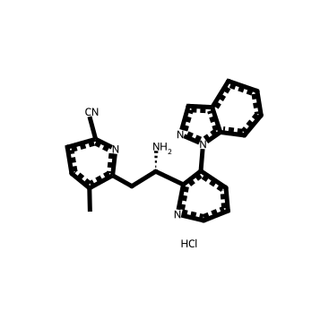 Cc1ccc(C#N)nc1C[C@H](N)c1ncccc1-n1ncc2ccccc21.Cl